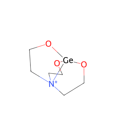 C1C[N+]23CC[O][Ge]2([O]1)[O]CC3